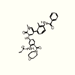 CCC(=O)Nc1cc(Nc2cc(-c3cccc(NC(=O)c4ccccc4)c3C)cn(C)c2=O)ccc1C(=O)N1CCOCC1